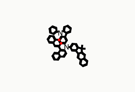 CC1(C)c2ccc(N(c3ccc4c(c3)c3ccccc3n4-c3ccccc3)c3ccc4ccccc4c3-c3ccc4ccccc4c3)cc2-c2cc3ccccc3cc21